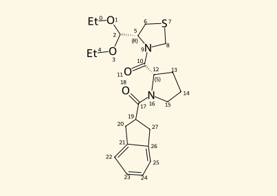 CCOC(OCC)[C@@H]1CSCN1C(=O)[C@@H]1CCCN1C(=O)C1Cc2ccccc2C1